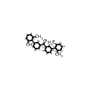 Cc1cccc(C)c1-c1cccc(C(=O)c2cccc(-c3c(C)cccc3C)c2)c1